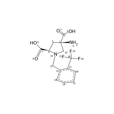 N[C@]1(C(=O)O)C[C@H](C(=O)O)N(Cc2ccccc2C(F)(F)F)C1